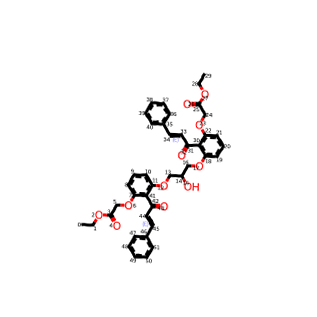 CCOC(=O)COc1cccc(OCC(O)COc2cccc(OCC(=O)OCC)c2C(=O)/C=C/c2ccccc2)c1C(=O)/C=C/c1ccccc1